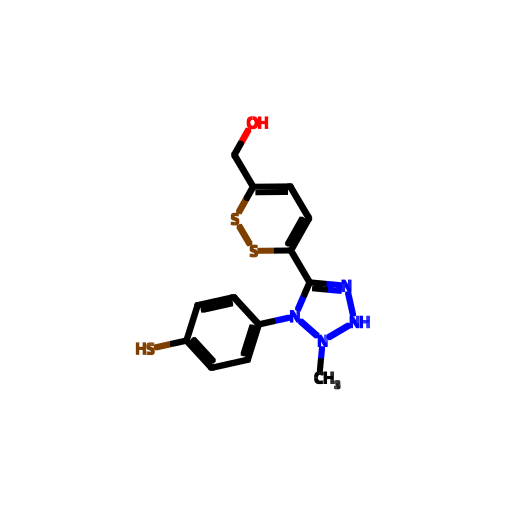 CN1NN=C(C2=CC=C(CO)SS2)N1c1ccc(S)cc1